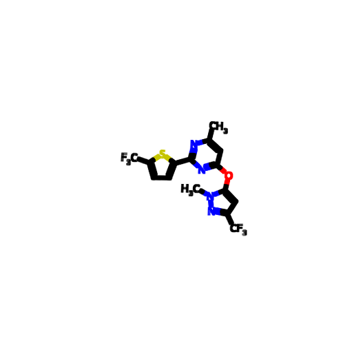 Cc1cc(Oc2cc(C(F)(F)F)nn2C)nc(-c2ccc(C(F)(F)F)s2)n1